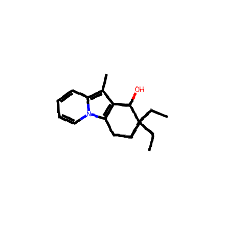 CCC1(CC)CCc2c(c(C)c3ccccn23)C1O